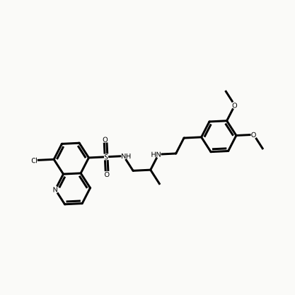 COc1ccc(CCNC(C)CNS(=O)(=O)c2ccc(Cl)c3ncccc23)cc1OC